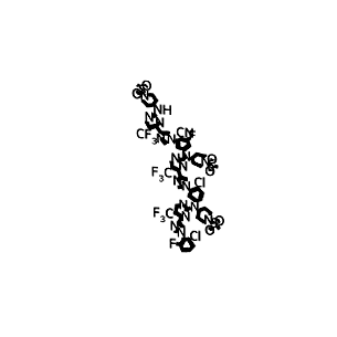 CS(=O)(=O)N1CCC(Nc2ncc(C(F)(F)F)c(-c3cn(-c4cc(N(c5ncc(C(F)(F)F)c(-c6cn(-c7cc(N(c8ncc(C(F)(F)F)c(-c9cn(-c%10c(F)cccc%10Cl)cn9)n8)C8CCN(S(C)(=O)=O)CC8)ccc7Cl)cn6)n5)C5CCN(S(C)(=O)=O)CC5)cc(F)c4C#N)cn3)n2)CC1